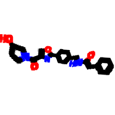 O=C(Cc1ccccc1)NCc1ccc(-c2nc(C(=O)N3CCC(O)C3)co2)cc1